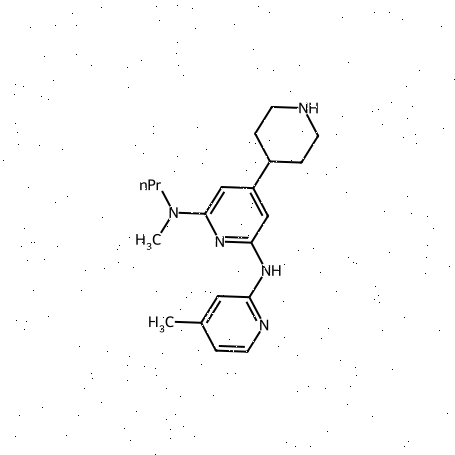 CCCN(C)c1cc(C2CCNCC2)cc(Nc2cc(C)ccn2)n1